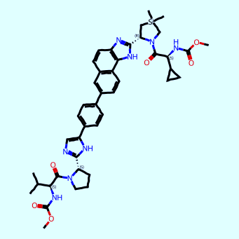 COC(=O)N[C@H](C(=O)N1CCC[C@H]1c1ncc(-c2ccc(-c3ccc4c(ccc5nc([C@@H]6C[Si](C)(C)CN6C(=O)[C@@H](NC(=O)OC)C6CC6)[nH]c54)c3)cc2)[nH]1)C(C)C